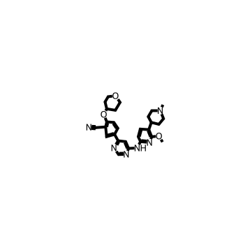 COc1nc(Nc2cc(-c3ccc(OC4CCOCC4)c(C#N)c3)ncn2)ccc1C1CCN(C)CC1